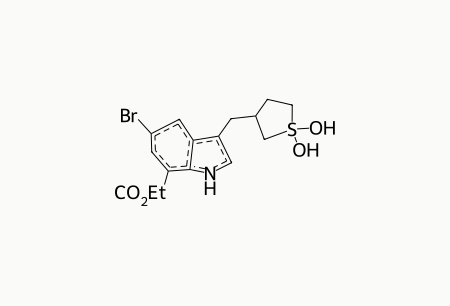 CCOC(=O)c1cc(Br)cc2c(CC3CCS(O)(O)C3)c[nH]c12